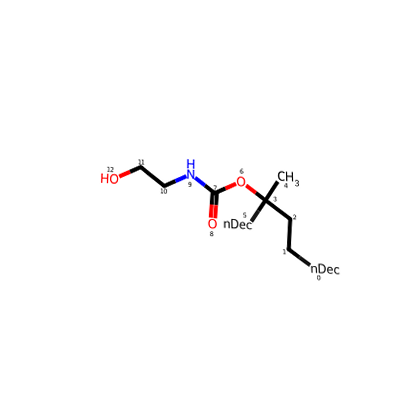 CCCCCCCCCCCCC(C)(CCCCCCCCCC)OC(=O)NCCO